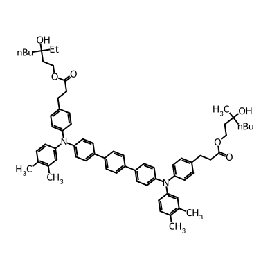 CCCCC(C)(O)CCOC(=O)CCc1ccc(N(c2ccc(-c3ccc(-c4ccc(N(c5ccc(CCC(=O)OCCC(O)(CC)CCCC)cc5)c5ccc(C)c(C)c5)cc4)cc3)cc2)c2ccc(C)c(C)c2)cc1